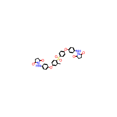 Cc1cc(Oc2ccc(NN3C(=O)CCC3=O)cc2)ccc1S(=O)(=O)c1ccc(Oc2ccc(NN3C(=O)CCC3=O)cc2)cc1